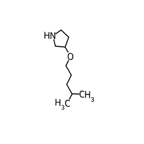 CC(C)CCCOC1CCNC1